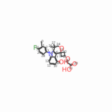 Cc1cc(-n2c3c(c4c(O)cccc42)[C@]2(C[C@@H](OCC(=O)O)C2)OCC3(C)C)ccc1F